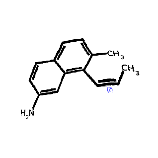 C/C=C\c1c(C)ccc2ccc(N)cc12